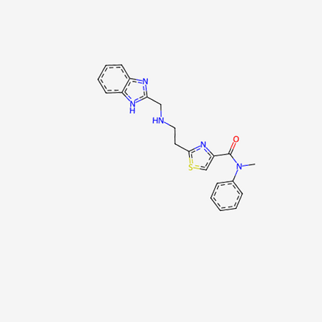 CN(C(=O)c1csc(CCNCc2nc3ccccc3[nH]2)n1)c1ccccc1